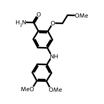 COCCOc1cc(Nc2ccc(OC)c(OC)c2)ccc1C(N)=O